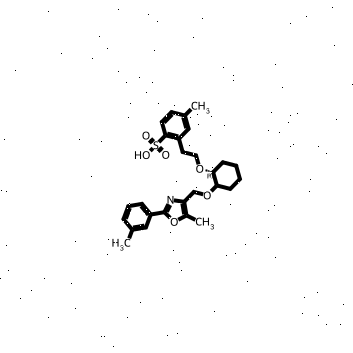 Cc1cccc(-c2nc(COC3CCCC[C@H]3OCCc3cc(C)ccc3S(=O)(=O)O)c(C)o2)c1